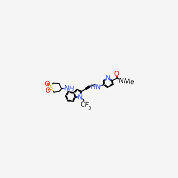 CNC(=O)c1ccc(NCC#Cc2cc3c(NC4CCS(=O)(=O)CC4)cccc3n2CC(F)(F)F)cn1